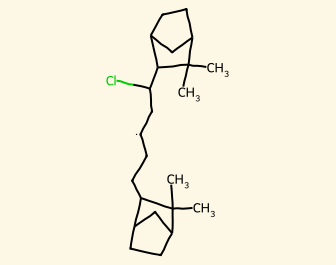 CC1(C)C2CCC(C2)C1CC[CH]CC(Cl)C1C2CCC(C2)C1(C)C